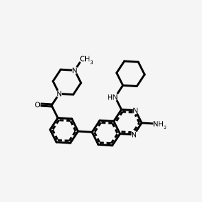 CN1CCN(C(=O)c2cccc(-c3ccc4nc(N)nc(NC5CCCCC5)c4c3)c2)CC1